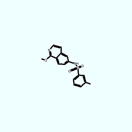 COc1nccc2cc(NS(=O)(=O)c3cccc(C)c3)ccc12